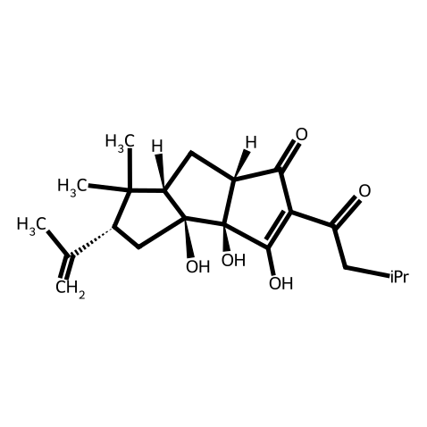 C=C(C)[C@H]1C[C@]2(O)[C@@H](C[C@@H]3C(=O)C(C(=O)CC(C)C)=C(O)[C@@]32O)C1(C)C